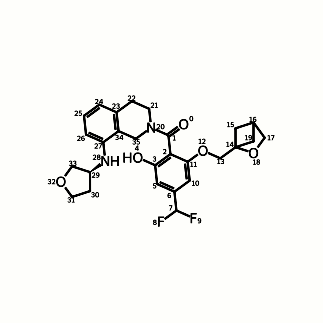 O=C(c1c(O)cc(C(F)F)cc1OCC12CC(CO1)C2)N1CCc2cccc(N[C@H]3CCOC3)c2C1